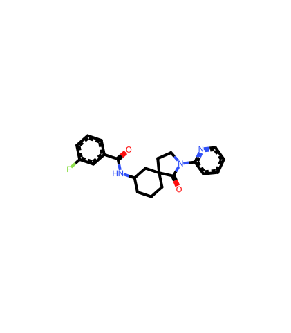 O=C(NC1CCCC2(CCN(c3ccccn3)C2=O)C1)c1cccc(F)c1